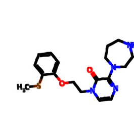 CSc1ccccc1OCCn1ccnc(N2CCCNCC2)c1=O